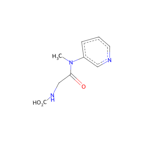 CN(C(=O)CNC(=O)O)c1cccnc1